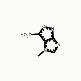 Cn1cnc2noc(C(=O)O)c21